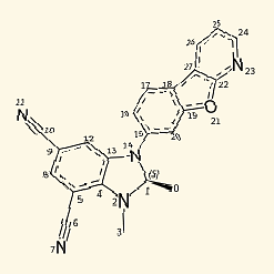 C[C@H]1N(C)c2c(C#N)cc(C#N)cc2N1c1ccc2c(c1)oc1ncccc12